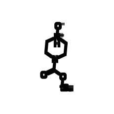 CC(C)(C)OC(=O)N1CC[NH+]([O-])CC1